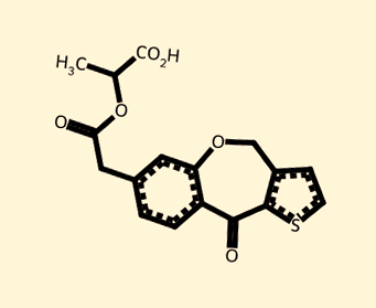 CC(OC(=O)Cc1ccc2c(c1)OCc1ccsc1C2=O)C(=O)O